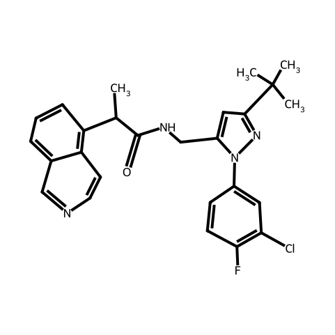 CC(C(=O)NCc1cc(C(C)(C)C)nn1-c1ccc(F)c(Cl)c1)c1cccc2cnccc12